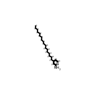 CCCCCCCCCCCCCCCCCCc1ccnc(N)c1